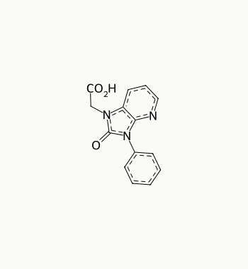 O=C(O)Cn1c(=O)n(-c2ccccc2)c2ncccc21